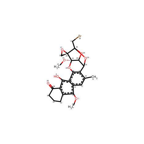 COc1c2c(c(O)c3c4c(c(C)cc13)C1OC3(CBr)OC1[C@@](OC)(O4)[C@@]31CO1)C(=O)CCC2